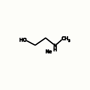 CNCCO.[Ne]